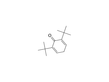 CC(C)(C)C1=CCC=C(C(C)(C)C)C1=O